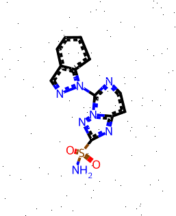 NS(=O)(=O)c1nc2ccnc(-n3ncc4ccccc43)n2n1